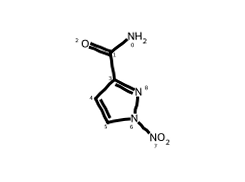 NC(=O)c1ccn([N+](=O)[O-])n1